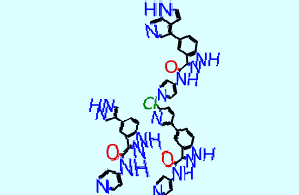 O=C(Nc1ccncc1)c1n[nH]c2ccc(-c3ccc(Cl)nc3)cc12.O=C(Nc1ccncc1)c1n[nH]c2ccc(-c3cn[nH]c3)cc12.O=C(Nc1ccncc1)c1n[nH]c2ccc(-c3cncc4[nH]ccc34)cc12